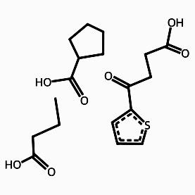 CCCC(=O)O.O=C(O)C1CCCC1.O=C(O)CCC(=O)c1cccs1